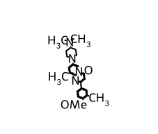 COc1ccc(-c2cc(=O)n3cc(N4CCC(N(C)C)CC4)cc(C)c3n2)cc1C